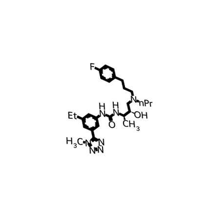 CCCN(CCCc1ccc(F)cc1)C[C@H](O)[C@@H](C)NC(=O)Nc1cc(CC)cc(-c2nnnn2C)c1